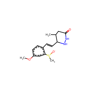 COc1ccc(/C=C/C2NNC(=O)CC2C)c([S+](C)[O-])c1